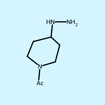 CC(=O)N1CCC(NN)CC1